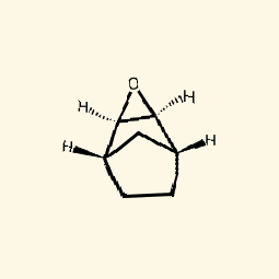 C1C[C@@H]2C[C@H]1[C@H]1O[C@@H]21